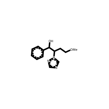 COCCC(C(O)c1ccccc1)n1cncn1